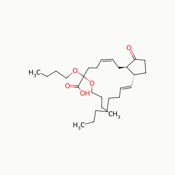 CCCCCC/C=C/[C@H]1CCC(=O)[C@@H]1C/C=C\CCC(OCCCC)(OCCCC)C(=O)O